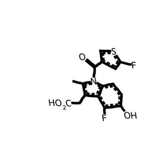 Cc1c(CC(=O)O)c2c(F)c(O)ccc2n1C(=O)c1csc(F)c1